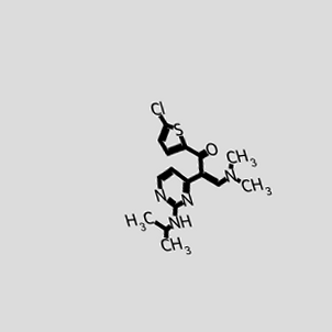 CC(C)Nc1nccc(C(=CN(C)C)C(=O)c2ccc(Cl)s2)n1